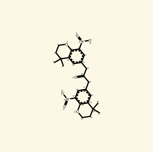 CC1(C)CCOc2c([N+](=O)[O-])cc(CC(=O)Cc3cc([N+](=O)[O-])c4c(c3)C(C)(C)CCO4)cc21